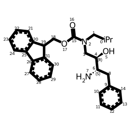 CC(C)CN(C[C@@H](O)[C@@H](N)Cc1ccccc1)C(=O)OCC1c2ccccc2-c2ccccc21